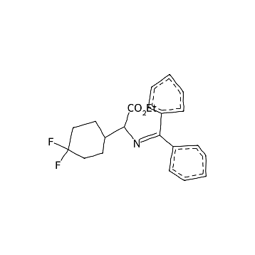 CCOC(=O)C(N=C(c1ccccc1)c1ccccc1)C1CCC(F)(F)CC1